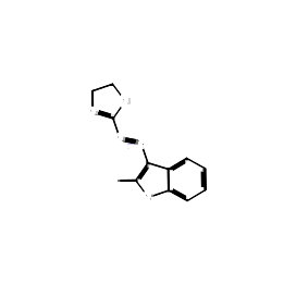 Oc1[nH]c2ccccc2c1/N=N/C1=NCCN1